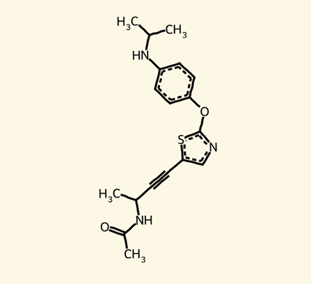 CC(=O)NC(C)C#Cc1cnc(Oc2ccc(NC(C)C)cc2)s1